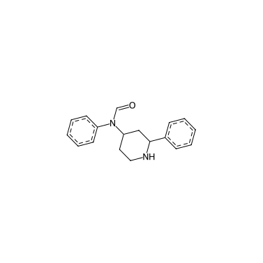 O=CN(c1ccccc1)C1CCNC(c2ccccc2)C1